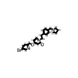 O=c1cc(OCc2ccc(Br)cn2)ccn1CCc1ccc(CN2CCCC2)cc1